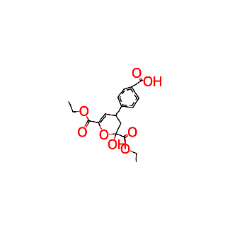 CCOC(=O)C1=CC(c2ccc(C(=O)O)cc2)CC(O)(C(=O)OCC)O1